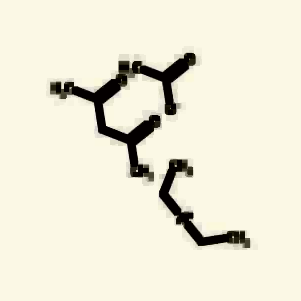 CC(=O)CC(C)=O.CC(=O)[O-].C[CH2][Al+][CH2]C